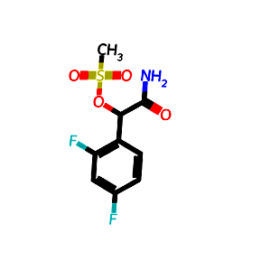 CS(=O)(=O)OC(C(N)=O)c1ccc(F)cc1F